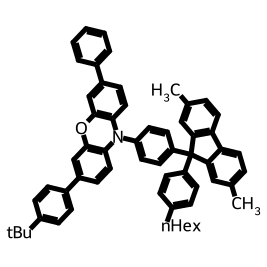 CCCCCCc1ccc(C2(c3ccc(N4c5ccc(-c6ccccc6)cc5Oc5cc(-c6ccc(C(C)(C)C)cc6)ccc54)cc3)c3cc(C)ccc3-c3ccc(C)cc32)cc1